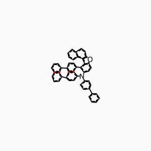 c1ccc(-c2ccc(-c3c(N(c4ccc(-c5ccccc5)cc4)c4ccc(-c5ccccc5)cc4)ccc4oc5ccc6ccccc6c5c34)cc2)cc1